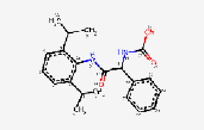 CC(C)c1cccc(C(C)C)c1NC(=O)C(NC(=O)O)c1ccccc1